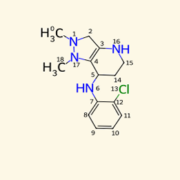 CN1CC2=C(C(Nc3ccccc3Cl)CCN2)N1C